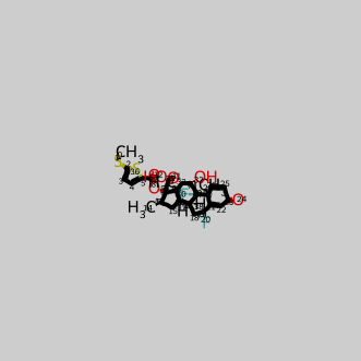 CSc1ccc(C(=O)O[C@]2(C(=O)O)[C@H](C)C[C@H]3[C@@H]4C[C@H](F)C5=CC(=O)C=C[C@]5(C)[C@@]4(F)[C@@H](O)C[C@@]32C)s1